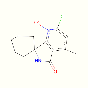 Cc1cc(Cl)[n+]([O-])c2c1C(=O)NC21CCCCC1